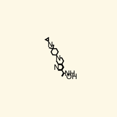 C=C(NO)c1cnc2c(c1)CCN(C1CCC3(CC1)CN(C1CC1)C3)C2